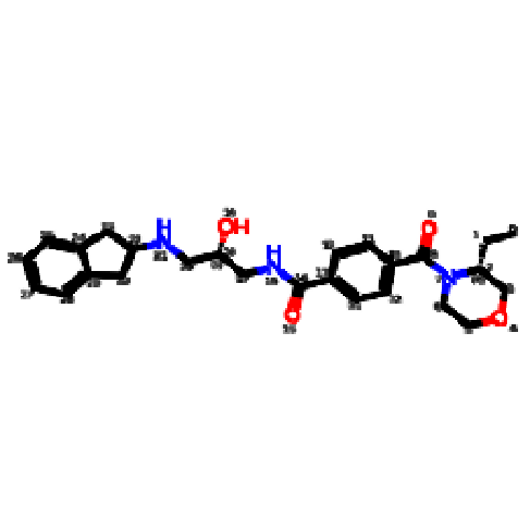 CC[C@@H]1COCCN1C(=O)c1ccc(C(=O)NC[C@@H](O)CNC2Cc3ccccc3C2)cc1